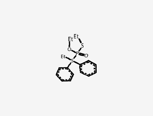 CCOP(=O)(SCC)S(CC)(c1ccccc1)c1ccccc1